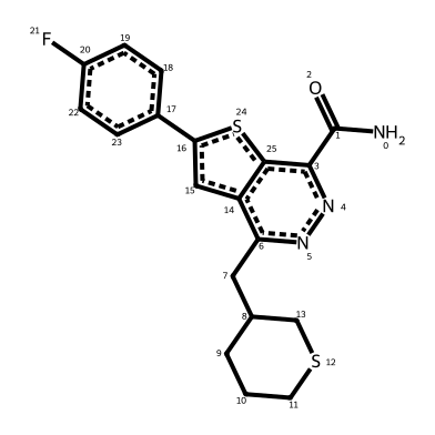 NC(=O)c1nnc(CC2CCCSC2)c2cc(-c3ccc(F)cc3)sc12